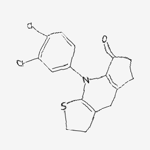 O=C1CCC2=C1N(c1ccc(Cl)c(Cl)c1)C1=C(CCS1)C2